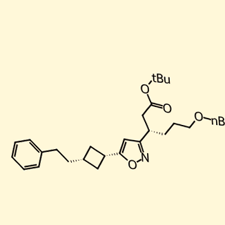 CCCCOCCC[C@@H](CC(=O)OC(C)(C)C)c1cc([C@H]2C[C@@H](CCc3ccccc3)C2)on1